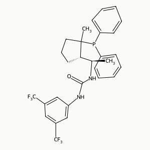 C[C@@H](NC(=O)Nc1cc(C(F)(F)F)cc(C(F)(F)F)c1)[C@@H]1CCCC1(C)P(c1ccccc1)c1ccccc1